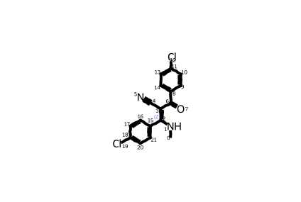 CN/C(=C(/C#N)C(=O)c1ccc(Cl)cc1)c1ccc(Cl)cc1